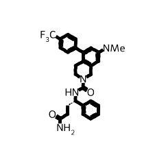 CNc1cc2c(c(-c3ccc(C(F)(F)F)cc3)c1)CCN(C(=O)N[C@@H](CCC(N)=O)c1ccccc1)C2